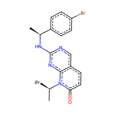 CC(C)[C@H](C)n1c(=O)ccc2cnc(N[C@@H](C)c3ccc(Br)cc3)nc21